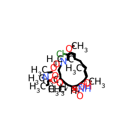 CC[C@@H]1[C@H]2O[C@]2(C)[C@H](OC(=O)[C@@H](C)N(C)C(=O)C(C)C)CC(=O)N(C)c2cc(cc(OC)c2Cl)C/C(C)=C/C=C/[C@H](OC)[C@]2(O)C[C@H]1OC(=O)N2